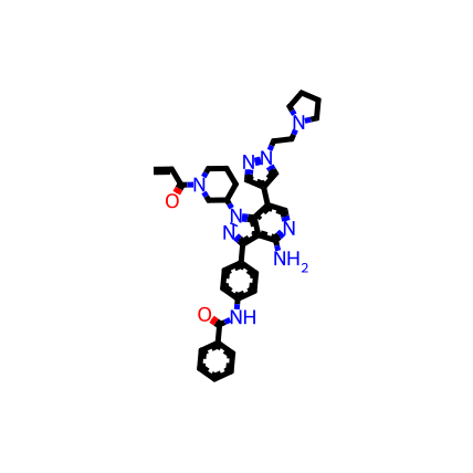 C=CC(=O)N1CCCC(n2nc(-c3ccc(NC(=O)c4ccccc4)cc3)c3c(N)ncc(-c4cnn(CCN5CCCC5)c4)c32)C1